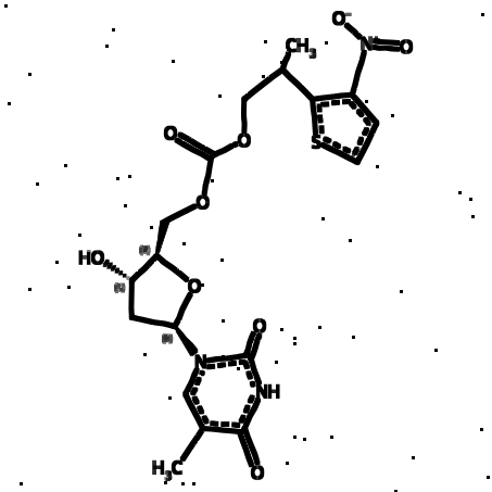 Cc1cn([C@H]2C[C@H](O)[C@@H](COC(=O)OCC(C)c3sccc3[N+](=O)[O-])O2)c(=O)[nH]c1=O